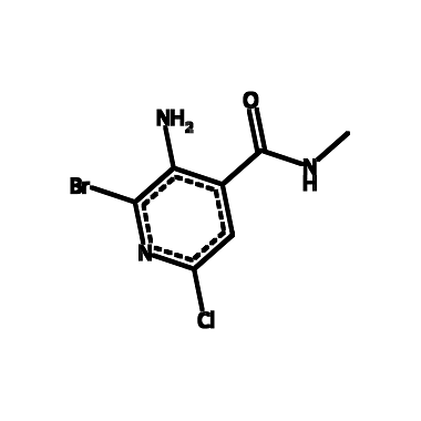 CNC(=O)c1cc(Cl)nc(Br)c1N